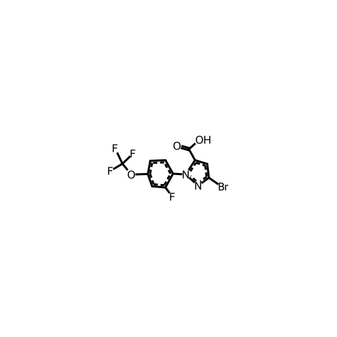 O=C(O)c1cc(Br)nn1-c1ccc(OC(F)(F)F)cc1F